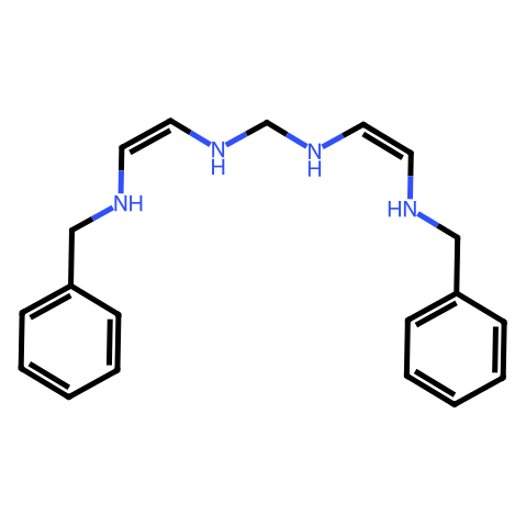 C(=C/NCc1ccccc1)/NCN/C=C\NCc1ccccc1